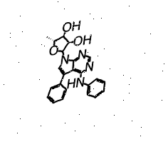 C[C@H]1OC(n2cc(-c3ccccc3)c3c(Nc4ccccc4)ncnc32)[C@H](O)[C@@H]1O